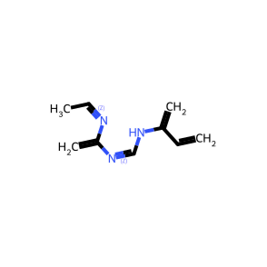 C=CC(=C)N/C=N\C(=C)/N=C\C